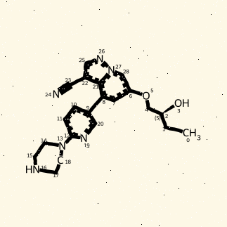 CC[C@H](O)COc1cc(-c2ccc(N3CCNCC3)nc2)c2c(C#N)cnn2c1